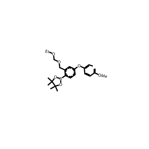 C=C(/C=C\C(=C/C)Oc1ccc(B2OC(C)(C)C(C)(C)O2)c(COCOCC)c1)OC